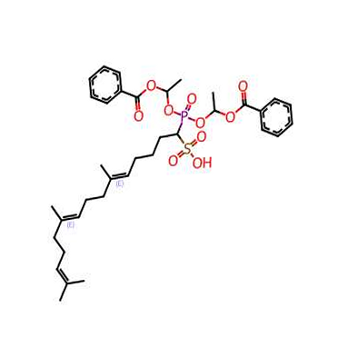 CC(C)=CCC/C(C)=C/CC/C(C)=C/CCCC(P(=O)(OC(C)OC(=O)c1ccccc1)OC(C)OC(=O)c1ccccc1)S(=O)(=O)O